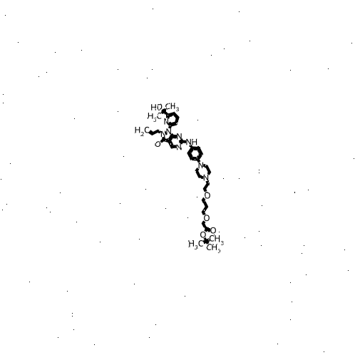 C=CCn1c(=O)c2cnc(Nc3ccc(N4CCN(CCOCCCOCC(=O)OC(C)(C)C)CC4)cc3)nc2n1-c1cccc(C(C)(C)O)n1